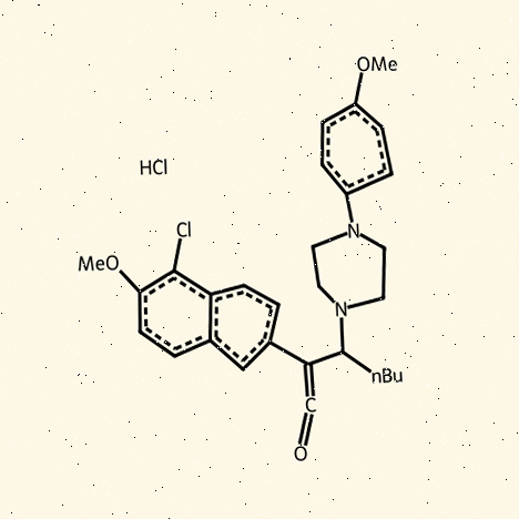 CCCCC(C(=C=O)c1ccc2c(Cl)c(OC)ccc2c1)N1CCN(c2ccc(OC)cc2)CC1.Cl